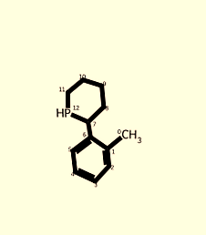 Cc1ccccc1C1CCCCP1